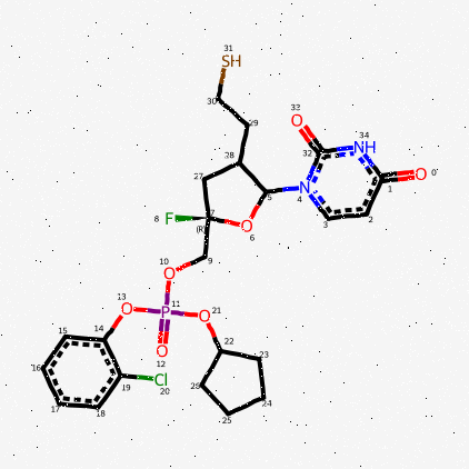 O=c1ccn(C2O[C@](F)(COP(=O)(Oc3ccccc3Cl)OC3CCCC3)CC2CCS)c(=O)[nH]1